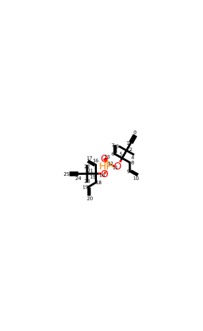 C#CC(C)(C)C(C=C)(CC=C)O[PH](=O)OC(C=C)(CC=C)C(C)(C)C#C